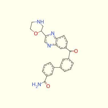 NC(=O)c1cccc(-c2cccc(C(=O)c3ccc4nc(C5CNCCO5)cnc4c3)c2)c1